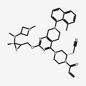 C=CC(=O)N1CCN(c2nc(OCC3S[C@]3(C)N(C)C3CN(C)C3)nc3c2CCN(c2cccc4cccc(C)c24)C3)C[C@@H]1CC#N